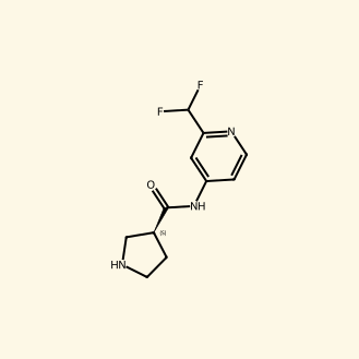 O=C(Nc1ccnc(C(F)F)c1)[C@H]1CCNC1